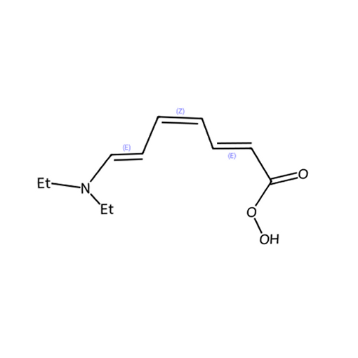 CCN(/C=C/C=C\C=C\C(=O)OO)CC